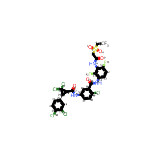 O=C(CS(=O)(=O)CC(F)(F)F)Nc1c(F)ccc(NC(=O)c2cc(NC(=O)C3[C@H](c4ccc(Cl)c(Cl)c4)C3(Cl)Cl)ccc2Cl)c1F